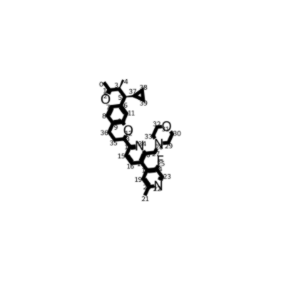 CC(=O)[C@@H](C)[C@H](c1ccc2c(c1)OC(c1ccc(-c3cc(C)ncc3F)c(CN3CCOCC3)n1)CC2)C1CC1